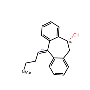 CNCC/C=C1\c2ccccc2C[C@@H](O)c2ccccc21